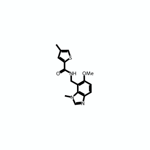 COc1ccc2ncn(C)c2c1CNC(=O)c1cc(C)cs1